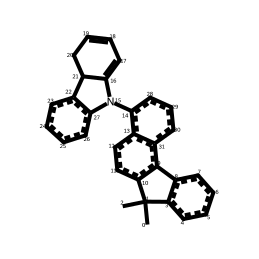 CC1(C)c2ccccc2-c2c1ccc1c(N3C4=CC=CCC4c4ccccc43)cccc21